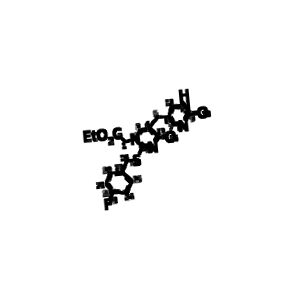 CCOC(=O)Cn1cc(Cc2cnc(=O)[nH]c2)c(=O)nc1SCc1ccc(F)cc1